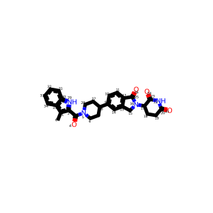 Cc1c(C(=O)N2CCC(c3ccc4c(c3)CN(C3CCC(=O)NC3=O)C4=O)CC2)[nH]c2ccccc12